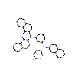 C1=CC(N(c2cccc(-c3c4ccc5ccccc5c4nc4c3ccc3ccccc34)c2)c2ccc3ccccc3c2)=CCC1